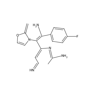 C=C1OC=CN1C(=C(N)c1ccc(F)cc1)C(=C/C=N)/N=C(\C)N